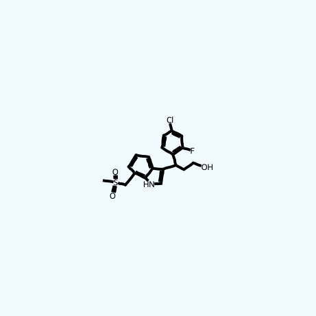 CS(=O)(=O)Cc1cccc2c(C(CCO)c3ccc(Cl)cc3F)c[nH]c12